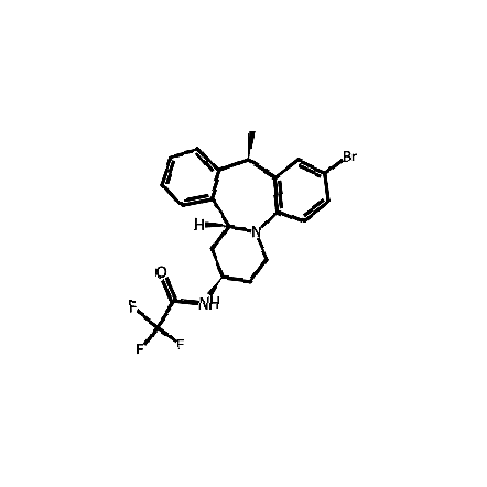 C[C@@H]1c2ccccc2[C@H]2C[C@H](NC(=O)C(F)(F)F)CCN2c2ccc(Br)cc21